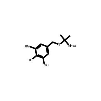 CCCCCCC(C)(C)SCc1cc(C(C)(C)C)c(O)c(C(C)(C)C)c1